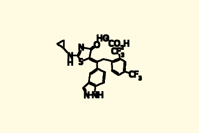 O=C(O)O.O=C1N=C(NC2CC2)SC1=C(Cc1ccc(C(F)(F)F)cc1C(F)(F)F)c1ccc2[nH]ncc2c1